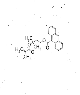 C=C(C)C(=O)OC(C)(C)CCOC(=O)c1c2ccccc2cc2ccccc12